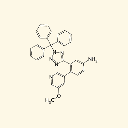 COc1cncc(-c2ccc(N)cc2-c2nnn(C(c3ccccc3)(c3ccccc3)c3ccccc3)n2)c1